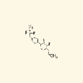 C=CCC1CCC(C2CCC(CC(C)(F)F)CC2)C(F)C1F